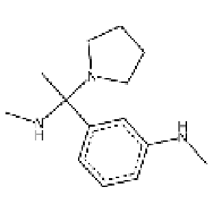 CNc1cccc(C(C)(NC)N2CCCC2)c1